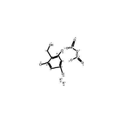 O=[PH]([O-])O[PH](=O)[O-].OCc1c(Cl)cc(Cl)cc1Cl.[K+].[K+]